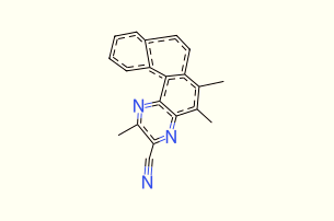 Cc1nc2c(nc1C#N)c(C)c(C)c1ccc3ccccc3c12